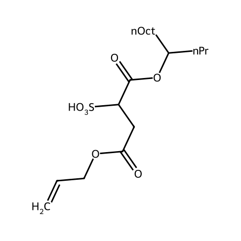 C=CCOC(=O)CC(C(=O)OC(CCC)CCCCCCCC)S(=O)(=O)O